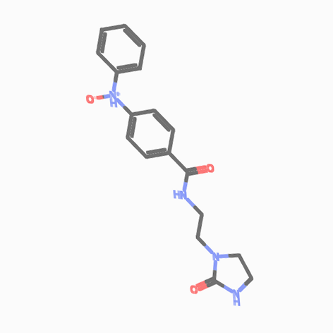 O=C(NCCN1CCNC1=O)c1ccc([NH+]([O-])c2ccccc2)cc1